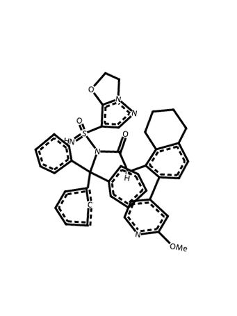 COc1cc(-c2ccc3c(c2NC(=O)N(C(c2ccccc2)(c2ccccc2)c2ccccc2)S(=N)(=O)c2cnn4c2OCC4)CCCC3)ccn1